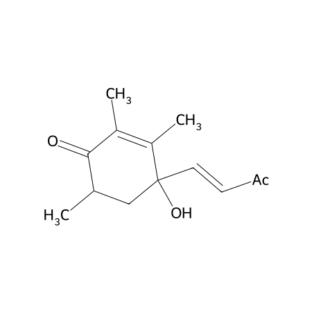 CC(=O)C=CC1(O)CC(C)C(=O)C(C)=C1C